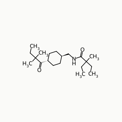 CCC(C)(CC)C(=O)NC[C@H]1CC[C@H](C(=O)C(C)(C)CC)CC1